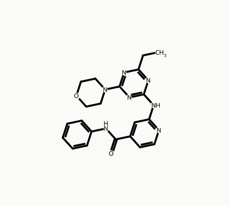 CCc1nc(Nc2cc(C(=O)Nc3ccccc3)ccn2)nc(N2CCOCC2)n1